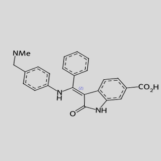 CNCc1ccc(N/C(=C2\C(=O)Nc3cc(C(=O)O)ccc32)c2ccccc2)cc1